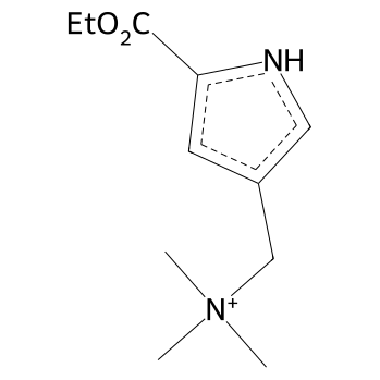 CCOC(=O)c1cc(C[N+](C)(C)C)c[nH]1